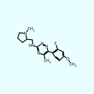 COc1ccc(-c2nnc(NCC3CCCN3C)nc2C)c(F)c1